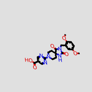 COc1ccc(OC)c(CN2C(=O)NC3(CCN(c4ncc(C(=O)O)cn4)CC3)C2=O)c1